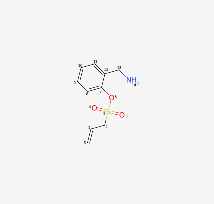 C=CCS(=O)(=O)Oc1ccccc1CN